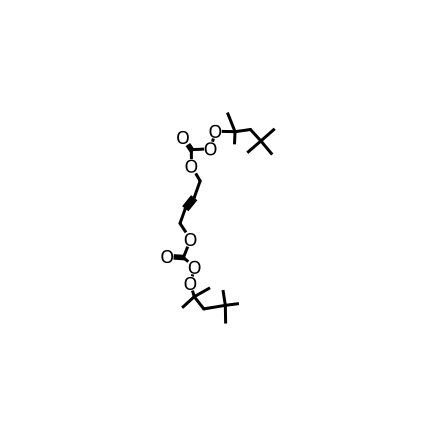 CC(C)(C)CC(C)(C)OOC(=O)OCC#CCOC(=O)OOC(C)(C)CC(C)(C)C